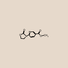 COC(=O)c1ccc(N2CCOC2=O)nc1